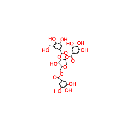 O=C(OCC1OCC(OC(=O)c2cc(O)c(O)c(O)c2)C(OC(=O)c2cc(O)c(O)c(CO)c2)C1O)c1cc(O)c(O)c(O)c1